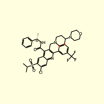 CC(C)S(=O)(=O)c1cc2c(C(=O)N[C@@H](C)c3ccccc3)c(CN3CCC(N4CCOCC4)CC3)c(-c3cccc(C(F)(F)F)c3)nc2cc1Cl